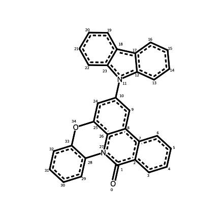 O=c1c2ccccc2c2cc(-n3c4ccccc4c4ccccc43)cc3c2n1-c1ccccc1O3